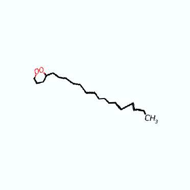 CCCCCCCCCCCCCCCCC1CCCOO1